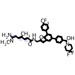 C=N\C(N)=C/C=C(C)/C=C/C(=O)NCc1cc2cc(-c3ccc(C(O)N4CCC(F)(F)CC4)cc3)cc(-c3ccc(C(F)(F)F)cc3)c2o1